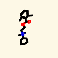 Cc1cccc(C)c1C(=O)OCC[N+](C)(C)C1CCCCC1